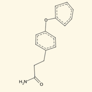 NC(=O)CCc1ccc(Oc2ccccc2)cc1